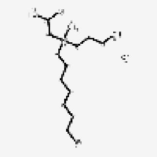 CC(C)CCCCCCC[N+](C)(CCCO)CC(O)O.[Cl-]